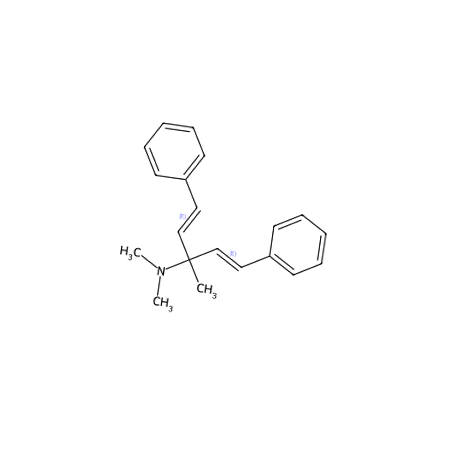 CN(C)C(C)(/C=C/c1ccccc1)/C=C/c1ccccc1